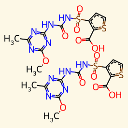 COc1nc(C)nc(NC(=O)NS(=O)(=O)c2ccsc2C(=O)O)n1.COc1nc(C)nc(NC(=O)NS(=O)(=O)c2ccsc2C(=O)O)n1